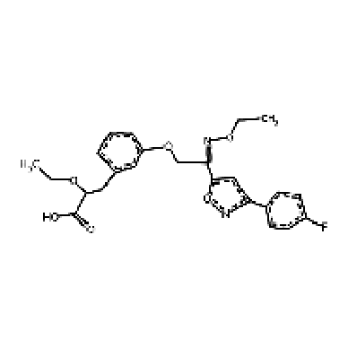 CCON=C(COc1cccc(CC(OCC)C(=O)O)c1)c1cc(-c2ccc(F)cc2)no1